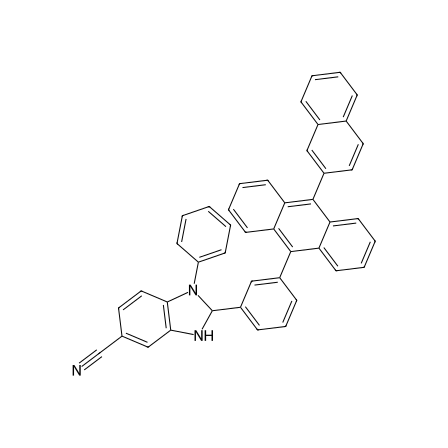 N#Cc1ccc2c(c1)NC(c1cccc(-c3c4ccccc4c(-c4ccc5ccccc5c4)c4ccccc34)c1)N2c1ccccc1